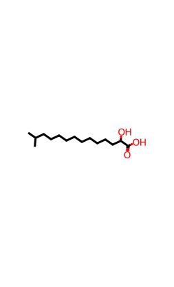 CC(C)CCCCCCCCCCC(O)C(=O)O